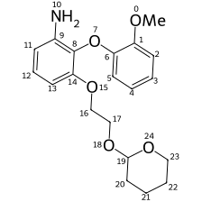 COc1ccccc1Oc1c(N)cccc1OCCOC1CCCCO1